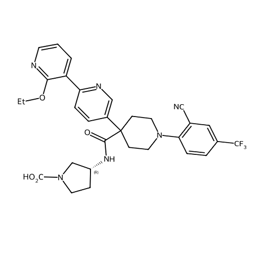 CCOc1ncccc1-c1ccc(C2(C(=O)N[C@@H]3CCN(C(=O)O)C3)CCN(c3ccc(C(F)(F)F)cc3C#N)CC2)cn1